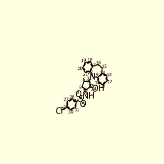 O=S(=O)(N[C@H]1CC[C@@H](N2c3ccccc3CCc3ccccc32)[C@@H]1O)c1ccc(Cl)cc1